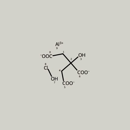 O=C([O-])CC(O)(CC(=O)[O-])C(=O)[O-].OCl.[Al+3]